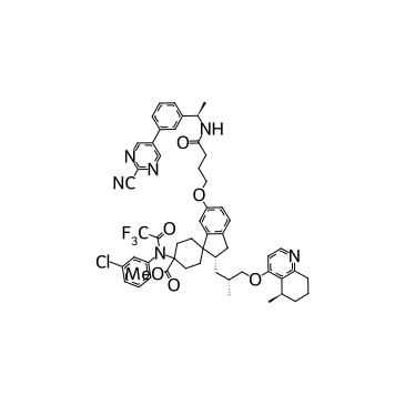 COC(=O)C1(N(C(=O)C(F)(F)F)c2cccc(Cl)c2)CCC2(CC1)c1cc(OCCCC(=O)N[C@H](C)c3cccc(-c4cnc(C#N)nc4)c3)ccc1C[C@@H]2C[C@@H](C)COc1ccnc2c1[C@H](C)CCC2